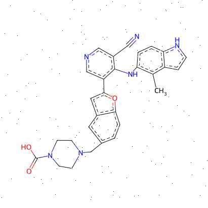 Cc1c(Nc2c(C#N)cncc2-c2cc3cc(CN4CCN(C(=O)O)CC4)ccc3o2)ccc2[nH]ccc12